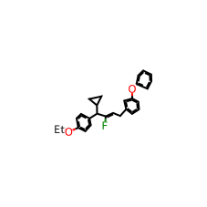 CCOc1ccc(C(C(F)=CCc2cccc(Oc3ccccc3)c2)C2CC2)cc1